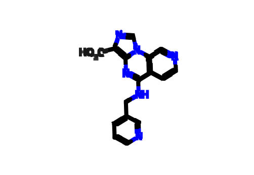 O=C(O)c1ncn2c1nc(NCc1cccnc1)c1ccncc12